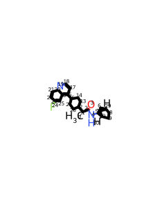 C[C@@H](C(=O)N[C@H]1C[C@@H]2CC[C@H]1C2)C1CCC(c2ccnc3ccc(F)cc23)CC1